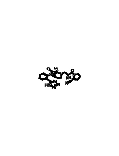 N#CC1CCCN1C(=O)C(N)CN1CC2C[C@H]1C(=O)N2c1ccccc1-c1nnn[nH]1